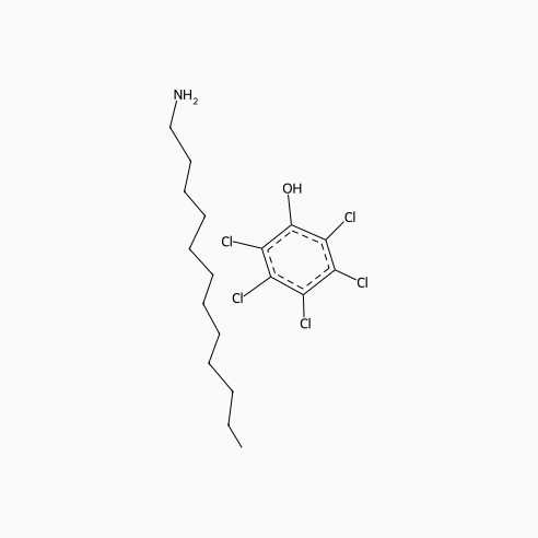 CCCCCCCCCCCCN.Oc1c(Cl)c(Cl)c(Cl)c(Cl)c1Cl